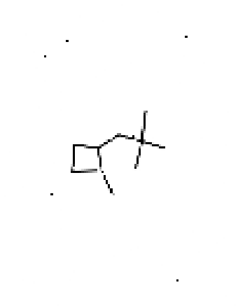 CN1CCC1CC(C)(C)C